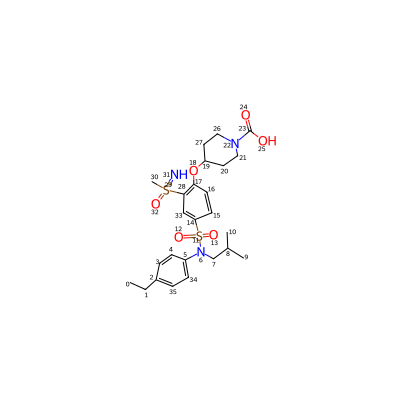 CCc1ccc(N(CC(C)C)S(=O)(=O)c2ccc(OC3CCN(C(=O)O)CC3)c(S(C)(=N)=O)c2)cc1